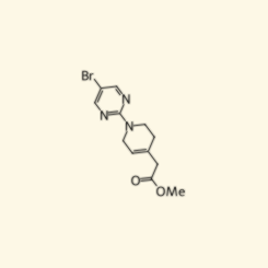 COC(=O)CC1=CCN(c2ncc(Br)cn2)CC1